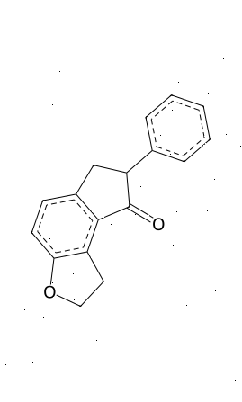 O=C1c2c(ccc3c2CCO3)CC1c1ccccc1